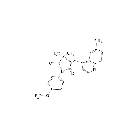 CC1(C)C(=O)N(c2ccc(OC(F)(F)F)cc2)C(=O)N1Cc1ccnc2ccc(N)cc12